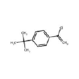 C=C(Cl)c1ccc(C(C)(C)C)cc1